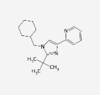 CC(C)(C)c1nc(-c2ccccn2)cn1CC1CCCCC1